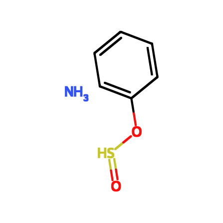 N.O=[SH]Oc1ccccc1